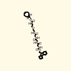 O=C(CNC(=O)CNC(=O)CNC(=O)OCC1c2ccccc2-c2ccccc21)NCCOCCNC(=O)OC[C@@H]1[C@@H]2CCC#CCC[C@@H]21